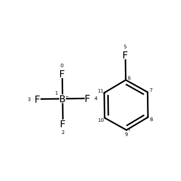 F[B-](F)(F)F.Fc1cc[c]cc1